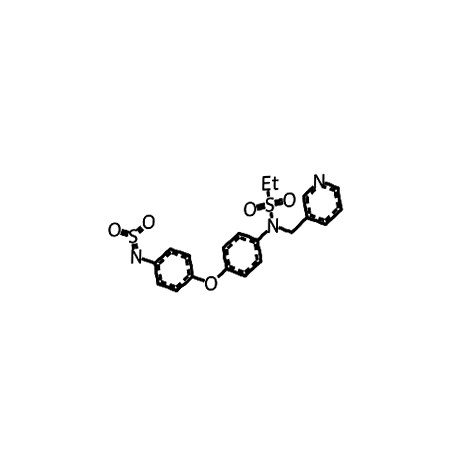 CCS(=O)(=O)N(Cc1cccnc1)c1ccc(Oc2ccc(N=S(=O)=O)cc2)cc1